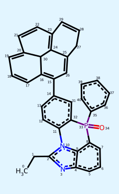 CCc1nc2cccc3c2n1-c1ccc(C2=C4C=CC=C5C=CC6=C(C(=C2)CC=C6)C54)cc1P3(=O)c1ccccc1